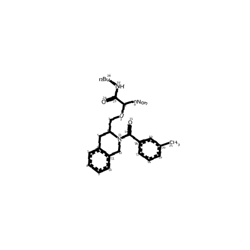 CCCCCCCCCC(OCC1Cc2ccccc2CN1C(=O)c1cccc(C)c1)C(=O)NCCCC